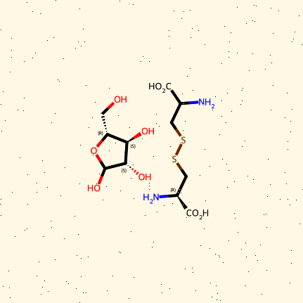 NC(CSSC[C@H](N)C(=O)O)C(=O)O.OC[C@H]1OC(O)[C@@H](O)[C@@H]1O